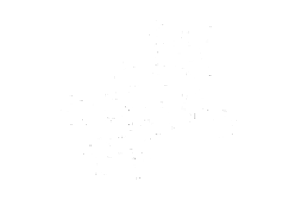 c1ccc(-c2cc(-c3cccc(C4(c5ccccc5)c5ccccc5Oc5c(-c6cccc(-c7cc(-c8ccccc8)nc(-c8cccc9c8-c8ccccc8C98c9ccccc9Oc9ccccc98)n7)c6)cccc54)c3)nc(-c3ccccc3)n2)cc1